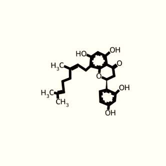 CC(C)=CCC/C(C)=C\Cc1c(O)cc(O)c2c1O[C@H](c1ccc(O)cc1O)CC2=O